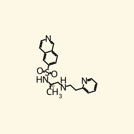 C[C@H](CNCCc1ccccn1)NS(=O)(=O)c1ccc2cnccc2c1